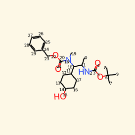 CC(NC(=O)OC(C)(C)C)C(C1CCC(O)CC1)N(C)C(=O)OCc1ccccc1